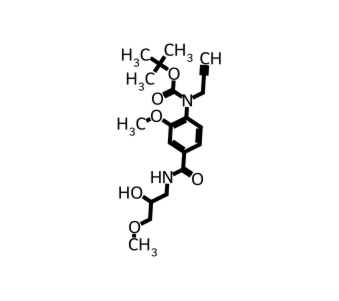 C#CCN(C(=O)OC(C)(C)C)c1ccc(C(=O)NCC(O)COC)cc1OC